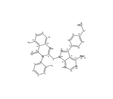 Cc1ccccc1-n1c(Cn2nc(-c3ccc(CO)cc3)c3c(N)ncnc32)nc2cccc(C)c2c1=O